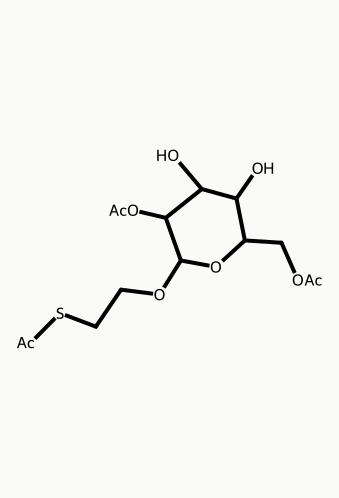 CC(=O)OCC1OC(OCCSC(C)=O)C(OC(C)=O)C(O)C1O